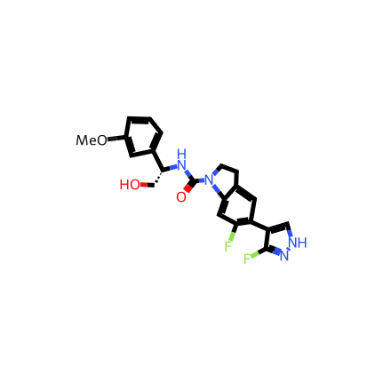 COc1cccc([C@@H](CO)NC(=O)N2CCc3cc(-c4c[nH]nc4F)c(F)cc32)c1